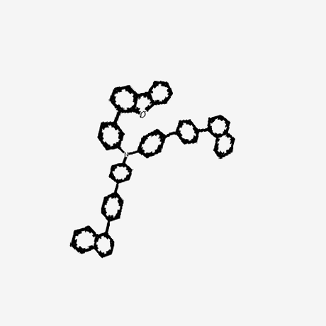 c1cc(-c2cccc3c2oc2ccccc23)cc(N(c2ccc(-c3ccc(-c4cccc5ccccc45)cc3)cc2)c2ccc(-c3ccc(-c4cccc5ccccc45)cc3)cc2)c1